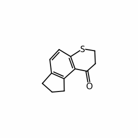 O=C1CCSc2ccc3c(c21)CCC3